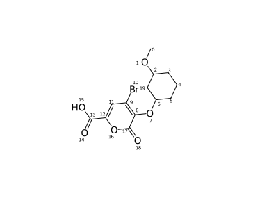 COC1CCCC(Oc2c(Br)cc(C(=O)O)oc2=O)C1